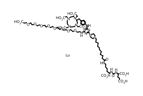 O=C(O)CCOCCOCCOCCOCCOCCOCCOCCOCCNc1nc(Nc2ccc(CC3CN(CC(=O)O)CCN(CC(=O)O)CCN(CC(=O)O)CCN3CC(=O)O)cc2)nc(N2CCN(CCCCCCCCCCC(=O)NCCCC[C@H](NC(=O)N[C@@H](CCC(=O)O)C(=O)O)C(=O)O)CC2)n1.[Lu]